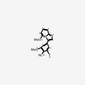 COc1cc(-c2cnc3cccc(OC)n23)cc(F)c1C#N